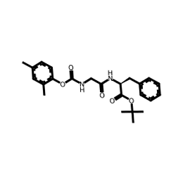 Cc1ccc(OC(=O)NCC(=O)N[C@@H](Cc2ccccc2)C(=O)OC(C)(C)C)c(C)c1